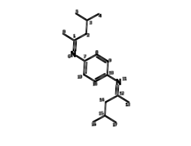 CC(CC(C)C)=Nc1ccc(N=C(C)CC(C)C)cc1